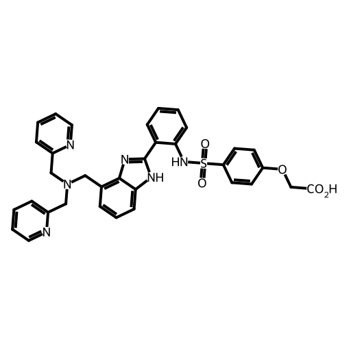 O=C(O)COc1ccc(S(=O)(=O)Nc2ccccc2-c2nc3c(CN(Cc4ccccn4)Cc4ccccn4)cccc3[nH]2)cc1